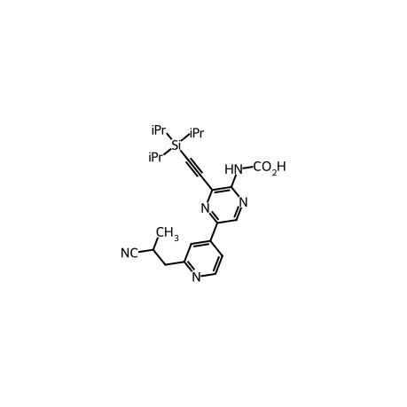 CC(C#N)Cc1cc(-c2cnc(NC(=O)O)c(C#C[Si](C(C)C)(C(C)C)C(C)C)n2)ccn1